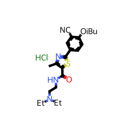 CCN(CC)CCNC(=O)c1sc(-c2ccc(OCC(C)C)c(C#N)c2)nc1C.Cl